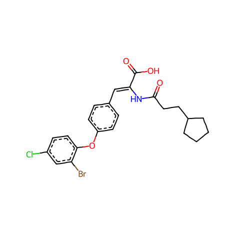 O=C(CCC1CCCC1)NC(=Cc1ccc(Oc2ccc(Cl)cc2Br)cc1)C(=O)O